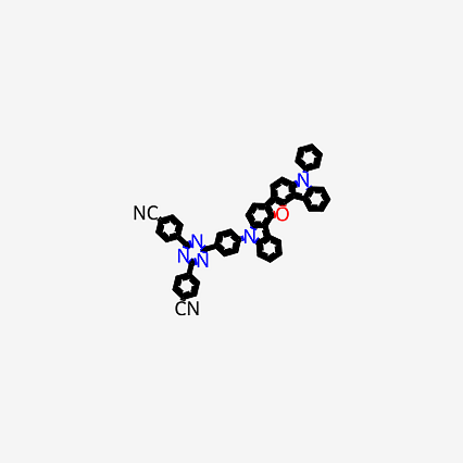 N#Cc1ccc(-c2nc(-c3ccc(C#N)cc3)nc(-c3ccc(-n4c5ccccc5c5c6oc7c(ccc8c7c7ccccc7n8-c7ccccc7)c6ccc54)cc3)n2)cc1